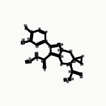 CC(C)(C)NC(=O)c1c(-c2ccc(F)c(Cl)c2)nn2c1CN(C(N)=O)C1(CC1)C2